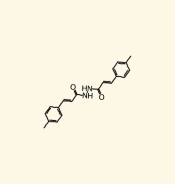 Cc1ccc(C=CC(=O)NNC(=O)C=Cc2ccc(C)cc2)cc1